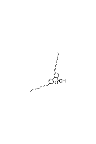 CCCCCCC/C=C/c1ccc(C(=O)O)c(-c2ccc(CCCCCCCCC)cc2)c1